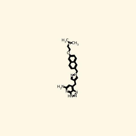 CN(C)CCOc1ccc2cc(Cn3cc(Cc4cc(N)nc5[nH]nnc45)cn3)ccc2c1